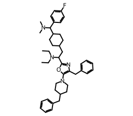 CCN(CC)C(CC1CCC(C(c2ccc(F)cc2)N(C)C)CC1)c1nc(Cc2ccccc2)c(N2CCC(Cc3ccccc3)CC2)o1